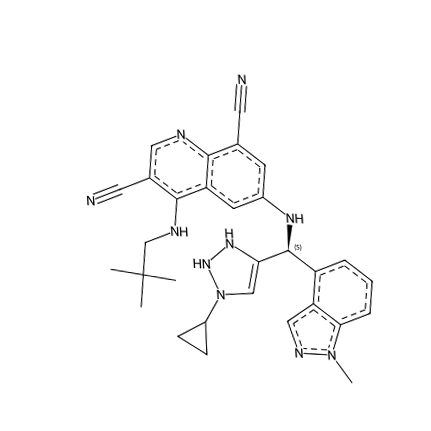 Cn1ncc2c([C@H](Nc3cc(C#N)c4ncc(C#N)c(NCC(C)(C)C)c4c3)C3=CN(C4CC4)NN3)cccc21